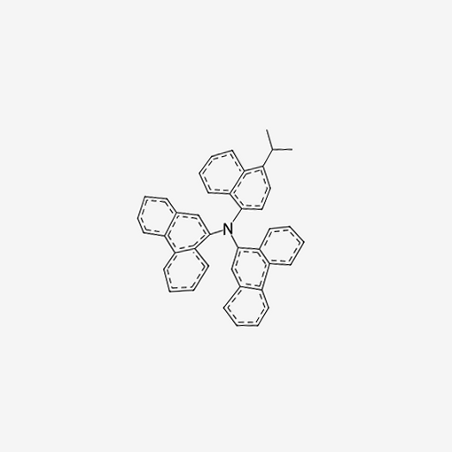 CC(C)c1ccc(N(c2cc3ccccc3c3ccccc23)c2cc3ccccc3c3ccccc23)c2ccccc12